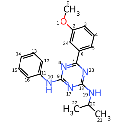 COc1cccc(-c2nc(Nc3ccccc3)nc(NC(C)C)n2)c1